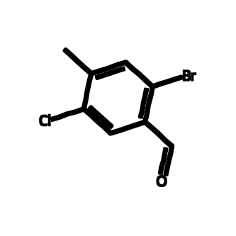 Cc1cc(Br)c(C=O)cc1Cl